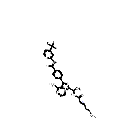 COC/C=C/C(=O)NC(C)c1nc(-c2ccc(C(=O)Nc3cc(C(F)(F)F)ccn3)cc2)c2c(C)nccn12